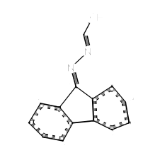 C/C=N/N=C1c2ccccc2-c2ccccc21